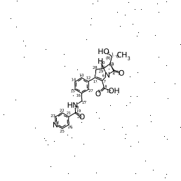 C[C@@H](O)[C@H]1C(=O)N2C(C(=O)O)=C(c3cccc(CNC(=O)c4ccncc4)c3)C[C@H]12